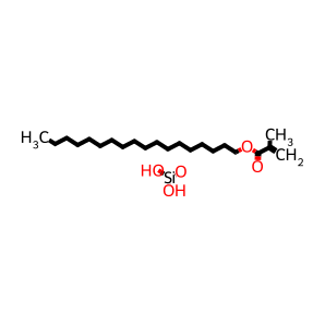 C=C(C)C(=O)OCCCCCCCCCCCCCCCCCC.O=[Si](O)O